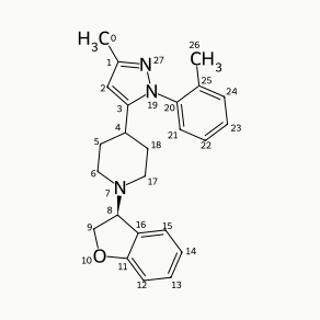 Cc1cc(C2CCN([C@@H]3COc4ccccc43)CC2)n(-c2ccccc2C)n1